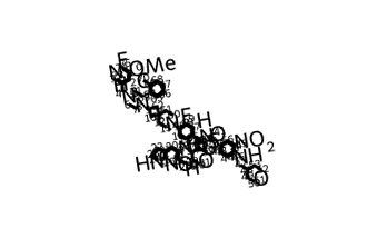 COc1cc(CN2CCN(C3CC4(CCN(c5cc(N6c7cc8cc[nH]c8nc7O[C@H]7COCC[C@@H]76)c(C(=O)NS(=O)(=O)c6ccc(NCC7CCOCC7)c([N+](=O)[O-])c6)cc5F)CC4)C3)[C@H](c3ccccc3C)C2)cnc1F